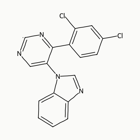 Clc1ccc(-c2n[c]ncc2-n2cnc3ccccc32)c(Cl)c1